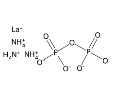 O=P([O-])([O-])OP(=O)([O-])[O-].[La+].[NH4+].[NH4+].[NH4+]